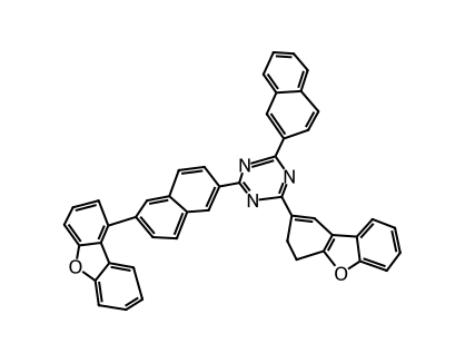 C1=C(c2nc(-c3ccc4ccccc4c3)nc(-c3ccc4cc(-c5cccc6oc7ccccc7c56)ccc4c3)n2)CCc2oc3ccccc3c21